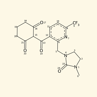 CN1CCN(Cc2nc(C(F)(F)F)ccc2C(=O)C2C(=O)CCCC2=O)C1=O